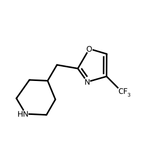 FC(F)(F)c1coc(CC2CCNCC2)n1